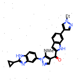 CCn1cc(-c2ccc3cc(C(=O)c4cnn(-c5ccc6[nH]c(C7CC7)nc6c5)c4NC)[nH]c3c2)cn1